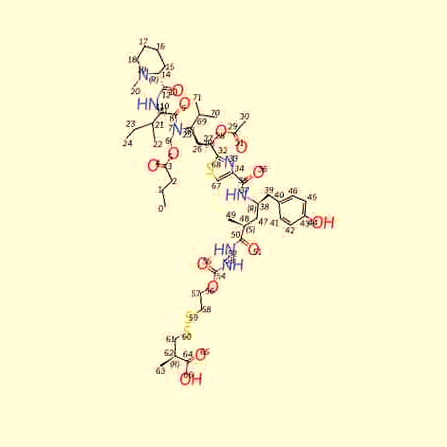 CCCC(=O)OCN(C(=O)[C@@H](NC(=O)[C@H]1CCCCN1C)C(C)CC)[C@H](C[C@@H](OC(C)=O)c1nc(C(=O)N[C@@H](Cc2ccc(O)cc2)C[C@H](C)C(=O)NNC(=O)OCCSSC[C@H](C)C(=O)O)cs1)C(C)C